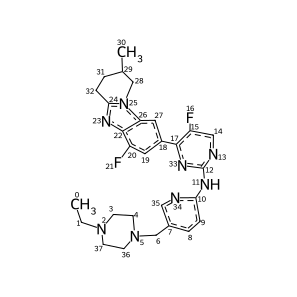 CCN1CCN(Cc2ccc(Nc3ncc(F)c(-c4cc(F)c5nc6n(c5c4)CC(C)CC6)n3)nc2)CC1